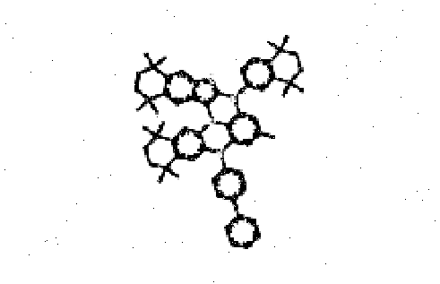 Cc1cc2c3c(c1)N(c1ccc4c(c1)C(C)(C)CCC4(C)C)c1sc4cc5c(cc4c1B3c1cc3c(cc1N2c1ccc(-c2ccccc2)cc1)C(C)(C)CCC3(C)C)C(C)(C)CCC5(C)C